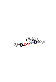 CC1=[N+](CCOCCOCc2ccc([N+](=O)[O-])cc2)c2ccc(S(=O)(=O)O)cc2C1(C)C